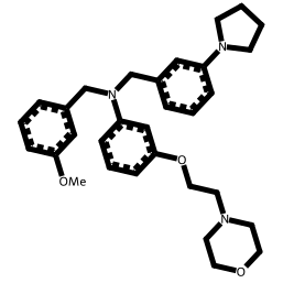 COc1cccc(CN(Cc2cccc(N3CCCC3)c2)c2cccc(OCCN3CCOCC3)c2)c1